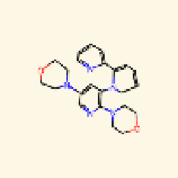 C1=CCN(c2cc(N3CCOCC3)cnc2N2CCOCC2)C(c2ccccn2)=C1